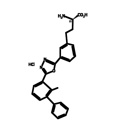 Cc1c(-c2ccccc2)cccc1-c1nnc(-c2cccc(CC[C@H](N)C(=O)O)c2)o1.Cl